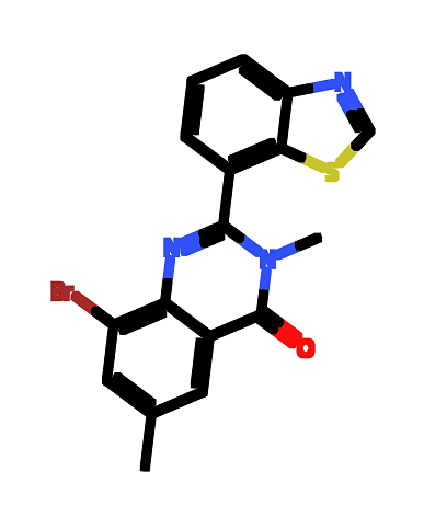 Cc1cc(Br)c2nc(-c3cccc4ncsc34)n(C)c(=O)c2c1